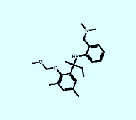 CCC(C)(Pc1ccccc1CN(C)C)c1cc(C)cc(C)c1OCOC